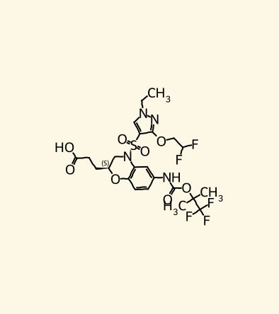 CCn1cc(S(=O)(=O)N2C[C@H](CCC(=O)O)Oc3ccc(NC(=O)OC(C)(C)C(F)(F)F)cc32)c(OCC(F)F)n1